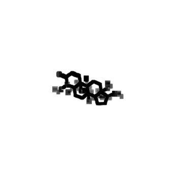 CN1C(=O)C=C[C@]2(C)[C@H]3CC[C@]4(C)[C@@H](N)CC[C@H]4[C@@H]3CC[C@@H]12